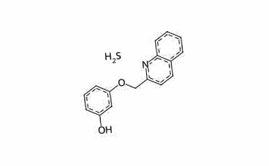 Oc1cccc(OCc2ccc3ccccc3n2)c1.S